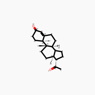 CC(=O)[C@H]1CCC2[C@@H]3CCC4=CC(=O)CC[C@]4(C)[C@@]3(C)CC[C@@]21C